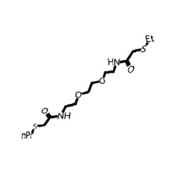 CCCSCC(=O)NCCOCCOCCNC(=O)CSCC